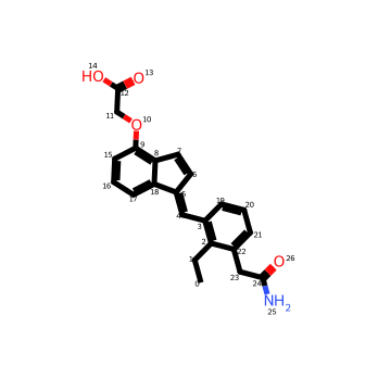 CCc1c(C=C2C=Cc3c(OCC(=O)O)cccc32)cccc1CC(N)=O